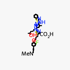 CNCC#Cc1ccc(OCCCc2sc(N(CCCC(C)O)c3cc(C)c(Nc4nc5ccccc5s4)nn3)nc2C(=O)O)c(F)c1